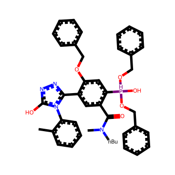 CCCCN(C)C(=O)c1cc(-c2nnc(O)n2-c2ccccc2C)c(OCc2ccccc2)cc1[PH](O)(OCc1ccccc1)OCc1ccccc1